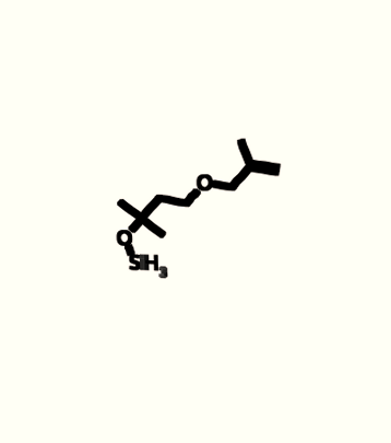 C=C(C)COCCC(C)(C)O[SiH3]